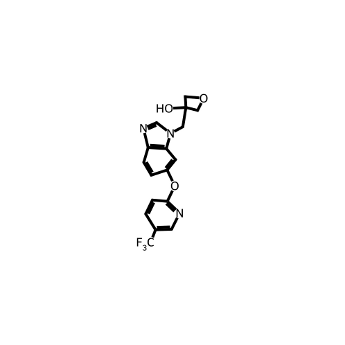 OC1(Cn2cnc3ccc(Oc4ccc(C(F)(F)F)cn4)cc32)COC1